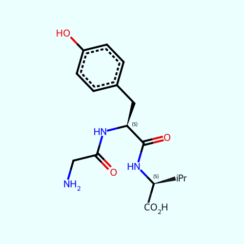 CC(C)[C@H](NC(=O)[C@H](Cc1ccc(O)cc1)NC(=O)CN)C(=O)O